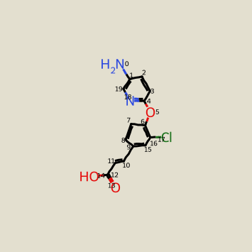 Nc1ccc(Oc2ccc(C=CC(=O)O)cc2Cl)nc1